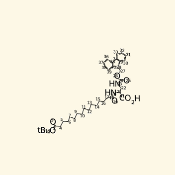 CC(C)(C)OC(=O)CCCCCCCCCCCCCCC(=O)N[C@@H](CNC(=O)OCC1c2ccccc2-c2ccccc21)C(=O)O